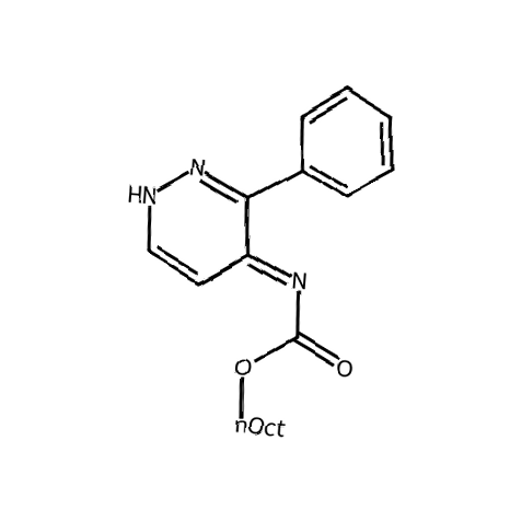 CCCCCCCCOC(=O)N=c1cc[nH]nc1-c1ccccc1